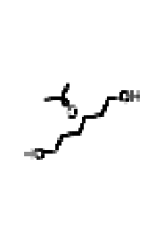 CC(C)=O.OCCCCCCO